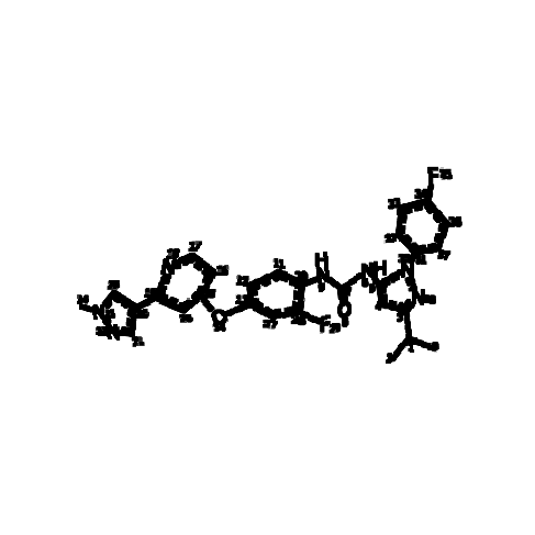 CC(C)c1cc(NC(=O)Nc2ccc(Oc3ccnc(-c4cnn(C)c4)c3)cc2F)n(-c2ccc(F)cc2)n1